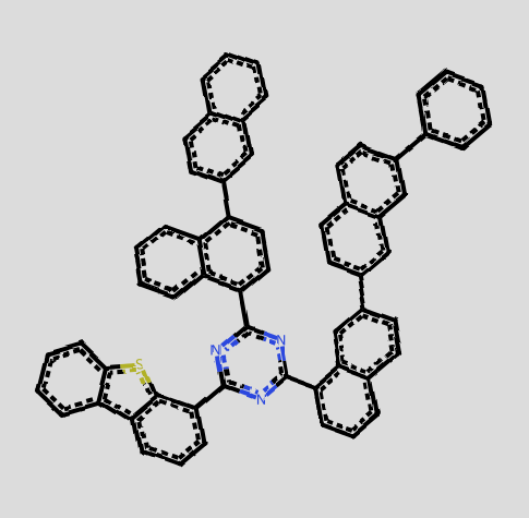 c1ccc(-c2ccc3ccc(-c4ccc5cccc(-c6nc(-c7ccc(-c8ccc9ccccc9c8)c8ccccc78)nc(-c7cccc8c7sc7ccccc78)n6)c5c4)cc3c2)cc1